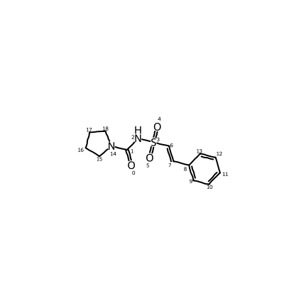 O=C(NS(=O)(=O)C=Cc1ccccc1)N1CCCC1